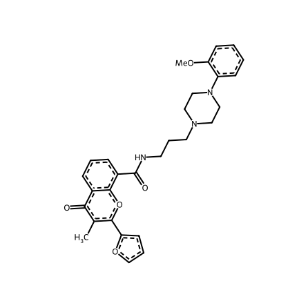 COc1ccccc1N1CCN(CCCNC(=O)c2cccc3c(=O)c(C)c(-c4ccco4)oc23)CC1